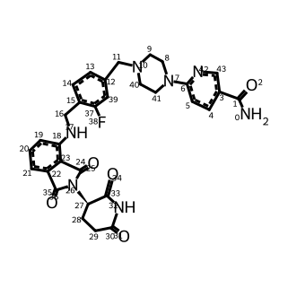 NC(=O)c1ccc(N2CCN(Cc3ccc(CNc4cccc5c4C(=O)N([C@@H]4CCC(=O)NC4=O)C5=O)c(F)c3)CC2)nc1